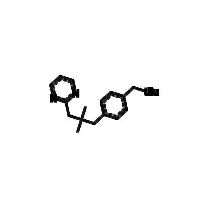 CC(C)(C)Cc1ccc(CC(C)(C)Cc2ncccn2)cc1